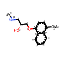 COc1ccc(OC[C@H](O)CNC(C)C)c2ccccc12